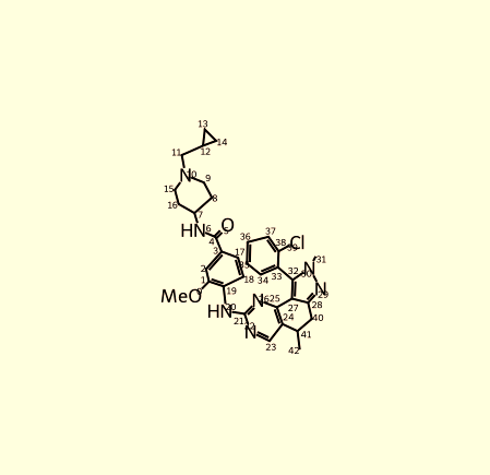 COc1cc(C(=O)NC2CCN(CC3CC3)CC2)ccc1Nc1ncc2c(n1)-c1c(nn(C)c1-c1ccccc1Cl)CC2C